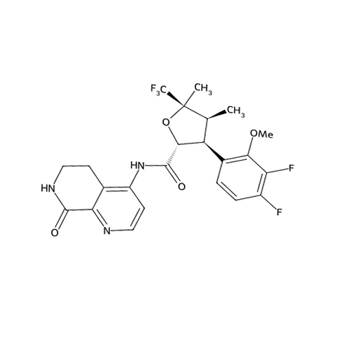 COc1c([C@H]2[C@H](C(=O)Nc3ccnc4c3CCNC4=O)O[C@@](C)(C(F)(F)F)[C@H]2C)ccc(F)c1F